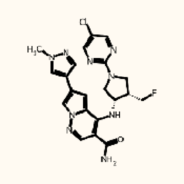 Cn1cc(-c2cc3c(N[C@@H]4CN(c5ncc(Cl)cn5)C[C@@H]4CF)c(C(N)=O)cnn3c2)cn1